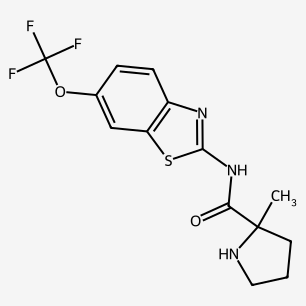 CC1(C(=O)Nc2nc3ccc(OC(F)(F)F)cc3s2)CCCN1